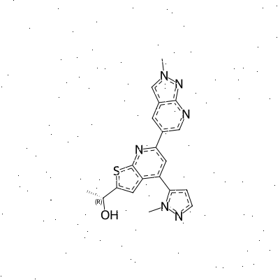 C[C@@H](O)c1cc2c(-c3ccnn3C)cc(-c3cnc4nn(C)cc4c3)nc2s1